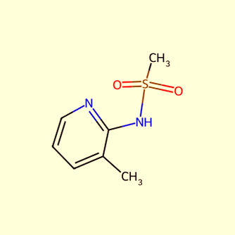 Cc1cccnc1NS(C)(=O)=O